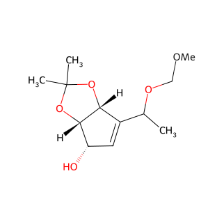 COCOC(C)C1=C[C@H](O)[C@@H]2OC(C)(C)O[C@H]12